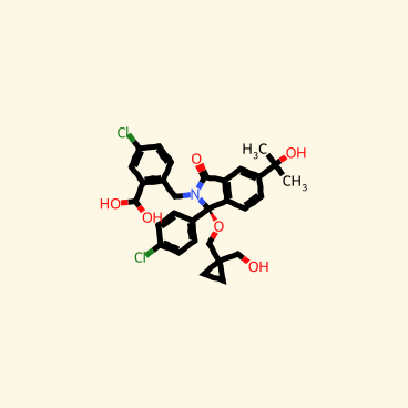 CC(C)(O)c1ccc2c(c1)C(=O)N(Cc1ccc(Cl)cc1C(O)O)[C@@]2(OCC1(CO)CC1)c1ccc(Cl)cc1